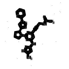 CC(=O)NCC#Cc1cc(Nc2cc(C)[nH]n2)nc(N2CCC[C@H]2c2cc(-c3ccccn3)no2)n1